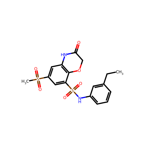 CCc1cccc(NS(=O)(=O)c2cc(S(C)(=O)=O)cc3c2OCC(=O)N3)c1